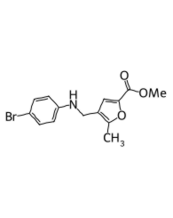 COC(=O)c1cc(CNc2ccc(Br)cc2)c(C)o1